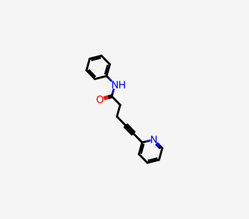 O=C(CCC#Cc1ccccn1)Nc1ccccc1